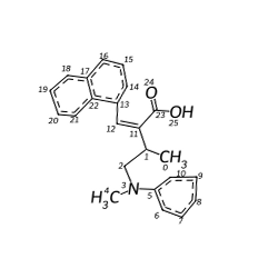 CC(CN(C)c1ccccc1)C(=Cc1cccc2ccccc12)C(=O)O